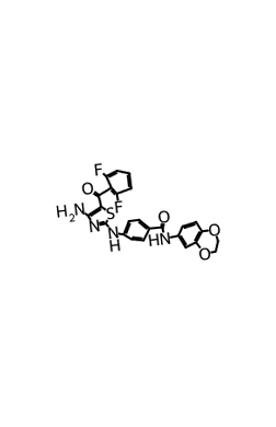 Nc1nc(Nc2ccc(C(=O)Nc3ccc4c(c3)OCCO4)cc2)sc1C(=O)c1c(F)cccc1F